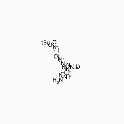 CC(C)(C)OC(=O)N1CCC(CC(=O)N2CCN(c3nc(-c4cnc(N)nc4C(F)F)nc(N4CCOCC4)n3)CC2)CC1